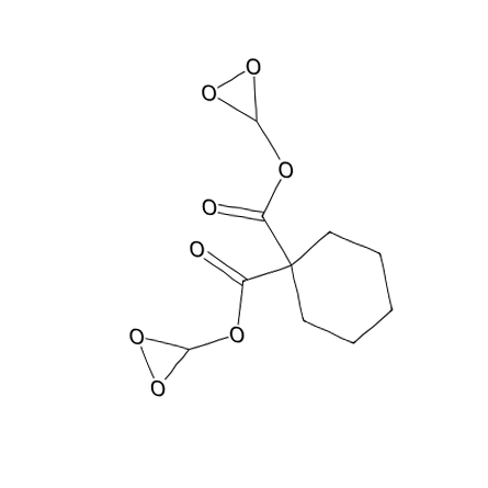 O=C(OC1OO1)C1(C(=O)OC2OO2)CCCCC1